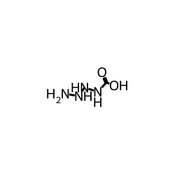 NNNNC(=O)O